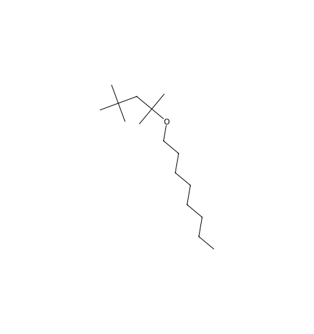 CCCCCCCCOC(C)(C)CC(C)(C)C